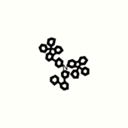 c1ccc(-c2ccccc2-c2ccc(N(c3ccc(-c4cccc5c4-c4ccccc4C5(c4ccccc4)c4ccccc4)cc3)c3ccc4c(c3)C(c3ccccc3)(c3ccccc3)c3ccccc3-4)cc2)cc1